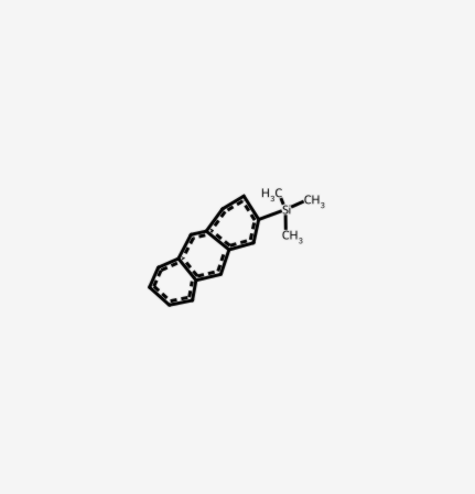 C[Si](C)(C)c1ccc2cc3ccccc3cc2c1